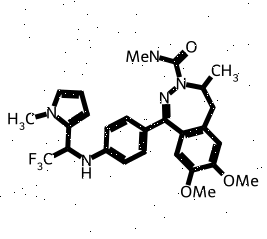 CNC(=O)N1N=C(c2ccc(NC(c3cccn3C)C(F)(F)F)cc2)c2cc(OC)c(OC)cc2CC1C